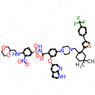 CC1(C)CCC(CN2CCN(c3ccc(C(=O)NS(=O)(=O)c4ccc(NCC5COCCO5)c([N+](=O)[O-])c4)c(Oc4cnc5[nH]ccc5c4)c3)CC2)=C(c2cc(-c3ccc(C(F)(F)F)cc3)cs2)C1